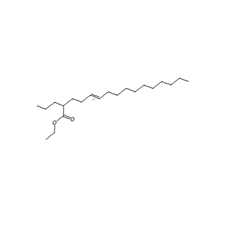 CCCCCCCCCC/C=C/CCC(CCC)C(=O)OCC